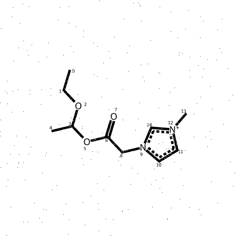 CCOC(C)OC(=O)Cn1cc[n+](C)c1